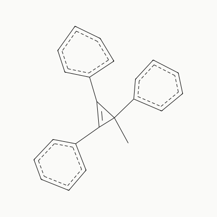 CC1(c2ccccc2)C(c2ccccc2)=C1c1ccccc1